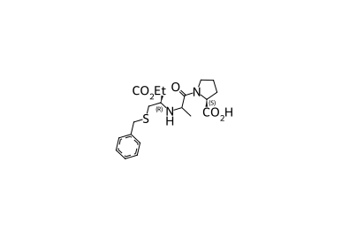 CCOC(=O)[C@H](CSCc1ccccc1)NC(C)C(=O)N1CCC[C@H]1C(=O)O